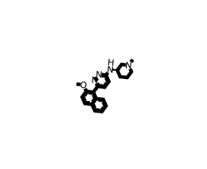 COc1ccc2ccccc2c1-c1ccc(N[C@@H]2CCCN(C)C2)nn1